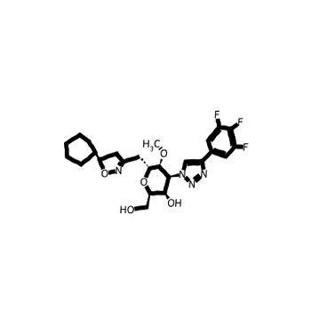 CO[C@@H]1[C@@H](n2cc(-c3cc(F)c(F)c(F)c3)nn2)[C@@H](O)[C@@H](CO)O[C@@H]1CC1=NO[C@@H](C2CCCCC2)C1